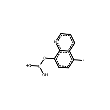 OB(O)Oc1ccc(F)c2cccnc12